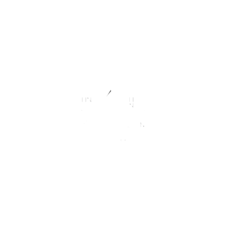 CC(=O)N[C@@H](Cc1ccccc1)C(O)C1NC(C)(C)N(Cc2ccccc2)C1=O